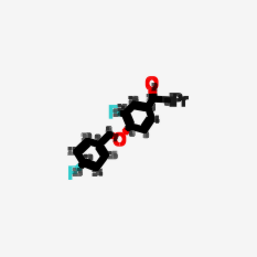 CC(C)C(=O)c1ccc(OCc2ccc(F)cc2)c(F)c1